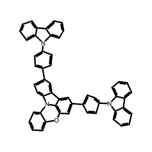 c1ccc2c(c1)Oc1cc(-c3ccc(-n4c5ccccc5c5ccccc54)cc3)cc3c4cc(-c5ccc(-n6c7ccccc7c7ccccc76)cc5)ccc4n-2c13